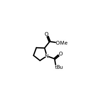 COC(=O)C1CCCN1C(=O)C(C)(C)C